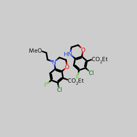 CCOC(=O)c1c(Cl)c(F)cc2c1OCCN2.CCOC(=O)c1c(Cl)c(F)cc2c1OCCN2CCOC